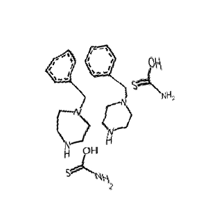 NC(O)=S.NC(O)=S.c1ccc(CN2CCNCC2)cc1.c1ccc(CN2CCNCC2)cc1